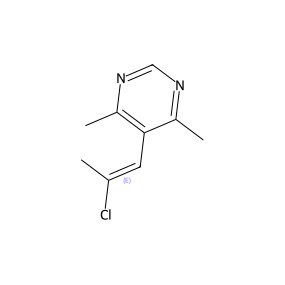 C/C(Cl)=C\c1c(C)ncnc1C